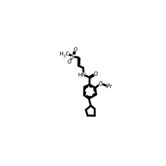 CC(C)Oc1cc(C2CCCC2)ccc1C(=O)NCC=CS(C)(=O)=O